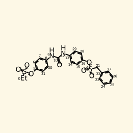 CCS(=O)(=O)Oc1ccc(NC(=O)Nc2ccc(OS(=O)(=O)Cc3ccccc3)cc2)cc1